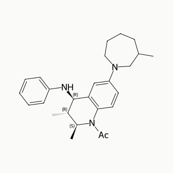 CC(=O)N1c2ccc(N3CCCCC(C)C3)cc2[C@H](Nc2ccccc2)[C@@H](C)[C@@H]1C